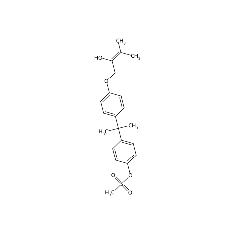 CC(C)=C(O)COc1ccc(C(C)(C)c2ccc(OS(C)(=O)=O)cc2)cc1